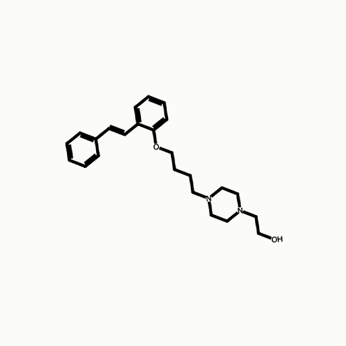 OCCN1CCN(CCCCOc2ccccc2C=Cc2ccccc2)CC1